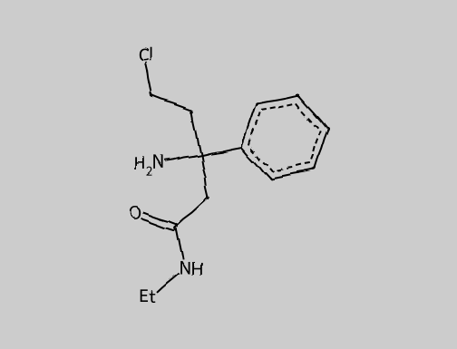 CCNC(=O)CC(N)(CCCl)c1ccccc1